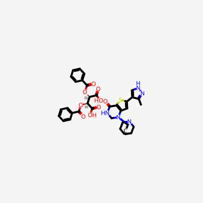 Cc1n[nH]cc1-c1cc2c(s1)C(=O)NCN2C1CC2CCN1CC2.O=C(O[C@H](C(=O)O)[C@H](OC(=O)c1ccccc1)C(=O)O)c1ccccc1